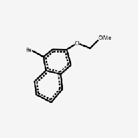 COCOc1cc(Br)c2ccccc2c1